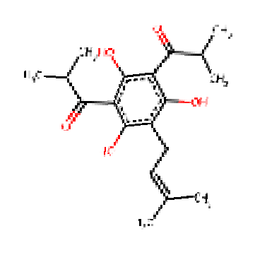 CC(C)=CCc1c(O)c(C(=O)C(C)C)c(O)c(C(=O)C(C)C)c1O